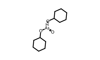 O=[AsH](OC1CCCCC1)OC1CCCCC1